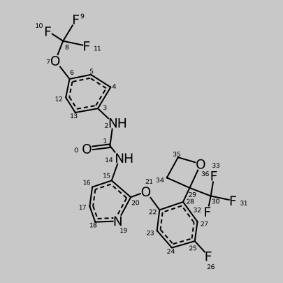 O=C(Nc1ccc(OC(F)(F)F)cc1)Nc1cccnc1Oc1ccc(F)cc1C1(C(F)(F)F)CCO1